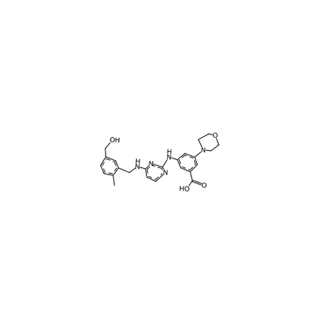 Cc1ccc(CO)cc1CNc1ccnc(Nc2cc(C(=O)O)cc(N3CCOCC3)c2)n1